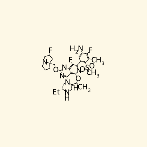 CC[C@@H]1CN2c3nc(OC[C@@]45CCCN4C[C@H](F)C5)nc4c(F)c(-c5cc(N)c(F)c(C)c5S(C)(=O)=O)nc(c34)O[C@@H](C)[C@@H]2CN1